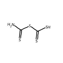 NC(=S)SC(=S)S